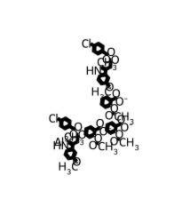 CC(=O)Oc1ccccc1C(=O)[O-].CC(=O)Oc1ccccc1C(=O)[O-].CC(=O)Oc1ccccc1C(=O)[O-].COc1ccc2[nH]c(C)c(CC(=O)OC(=O)c3ccc(Cl)cc3)c2c1.COc1ccc2[nH]c(C)c(CC(=O)OC(=O)c3ccc(Cl)cc3)c2c1.[Al+3]